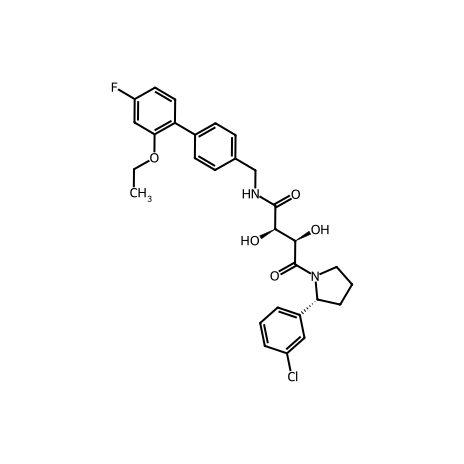 CCOc1cc(F)ccc1-c1ccc(CNC(=O)[C@H](O)[C@@H](O)C(=O)N2CCC[C@@H]2c2cccc(Cl)c2)cc1